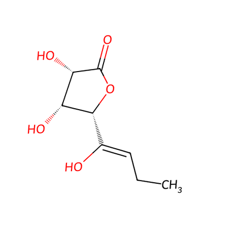 CCC=C(O)[C@H]1OC(=O)[C@@H](O)[C@H]1O